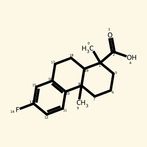 CC1(C(=O)O)CCCC2(C)c3ccc(F)cc3CCC12